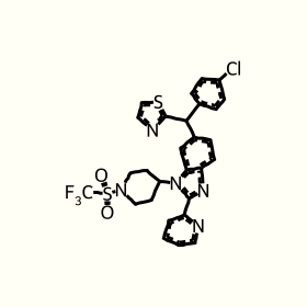 O=S(=O)(N1CCC(n2c(-c3ccccn3)nc3ccc(C(c4ccc(Cl)cc4)c4nccs4)cc32)CC1)C(F)(F)F